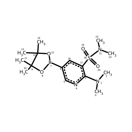 CN(C)c1ncc(B2OC(C)(C)C(C)(C)O2)cc1S(=O)(=O)N(C)C